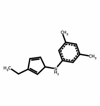 CCC1=C[C]([SiH2]c2cc(C)cc(C)c2)C=C1